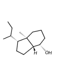 CCC(C)[C@H]1CC[C@H]2[C@@H](O)CCC[C@]12C